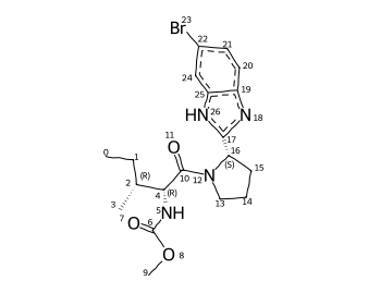 CC[C@@H](C)[C@@H](NC(=O)OC)C(=O)N1CCC[C@H]1c1nc2ccc(Br)cc2[nH]1